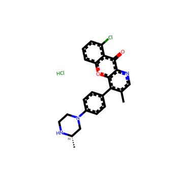 Cc1cnc2c(=O)c3c(Cl)cccc3oc2c1-c1ccc(N2CCN[C@@H](C)C2)cc1.Cl